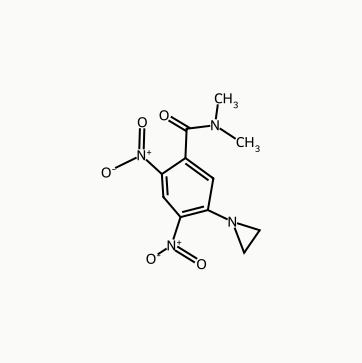 CN(C)C(=O)c1cc(N2CC2)c([N+](=O)[O-])cc1[N+](=O)[O-]